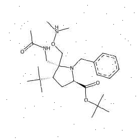 CC(=O)NC[C@@]1(CO[SiH](C)C)[C@@H](C(C)(C)C)C[C@H](C(=O)OC(C)(C)C)N1Cc1ccccc1